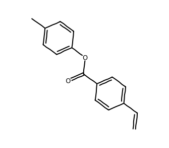 C=Cc1ccc(C(=O)Oc2ccc(C)cc2)cc1